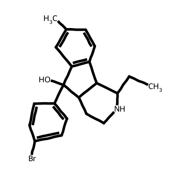 CCC1NCCC2C1c1ccc(C)cc1C2(O)c1ccc(Br)cc1